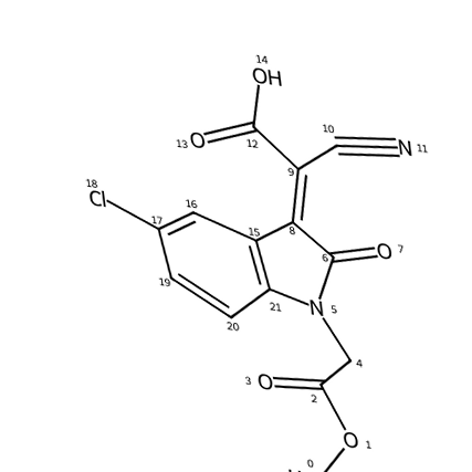 COC(=O)CN1C(=O)C(=C(C#N)C(=O)O)c2cc(Cl)ccc21